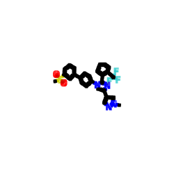 Cn1cc(-c2cn(-c3ccc(-c4cccc(S(C)(=O)=O)c4)cc3)c(-c3ccccc3C(F)(F)F)n2)cn1